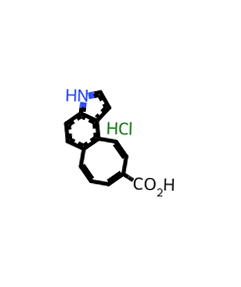 Cl.O=C(O)C1=CC=Cc2ccc3[nH]ccc3c2C=C1